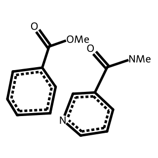 CNC(=O)c1cccnc1.COC(=O)c1ccccc1